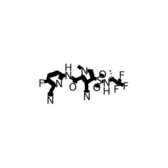 C[C@@H](NS(=O)(=O)c1cn(C)c(C(=O)Nc2ccc(F)c(C#N)n2)c1C#N)C(F)(F)F